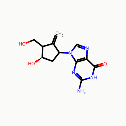 C=C1C(CO)[C@H](O)CC1n1cnc2c(=O)[nH]c(N)nc21